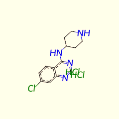 Cl.Cl.Clc1ccc2c(NC3CCNCC3)ncnc2c1